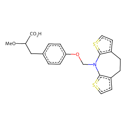 COC(Cc1ccc(OCN2c3sccc3CCc3ccsc32)cc1)C(=O)O